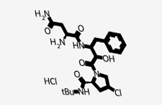 CC(C)(C)NC(=O)[C@@H]1CC(Cl)CN1C(=O)C(O)C(Cc1ccccc1)NC(=O)[C@@H](N)CC(N)=O.Cl